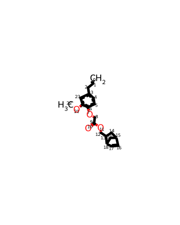 C=CCc1ccc(OCC(=O)OCC2CC3C=CC2C3)c(OC)c1